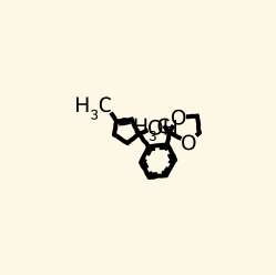 CC1=CC(O)(c2ccccc2C2(C)OCCO2)CC1